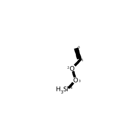 C=COO[SiH3]